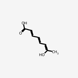 CC(O)=CC=CC=CC(=O)O